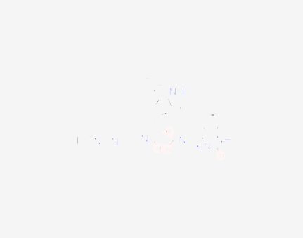 CN1CCN(C2CCN(C(=O)[C@@H](Cc3cc(Cl)c(N)c(C(F)(F)F)c3)OC(=O)N3CCC4(CC3)NC(=O)Nc3ccccc34)CC2)CC1